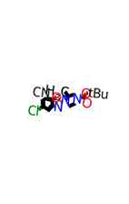 CC1CN(C(=O)OC(C)(C)C)CCN1c1nc2cc(Cl)cc(C#N)c2o1